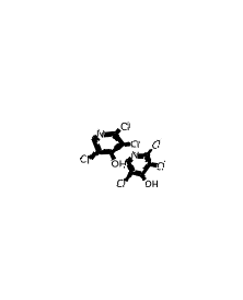 Oc1c(Cl)cnc(Cl)c1Cl.Oc1c(Cl)cnc(Cl)c1Cl